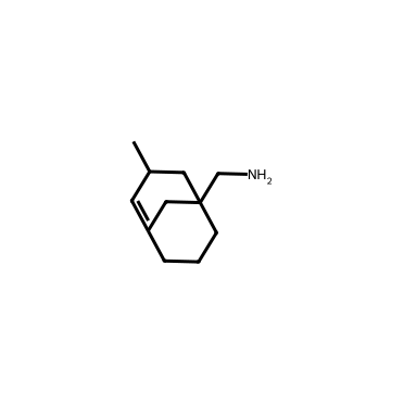 CC1C=C2CCCC(CN)(C2)C1